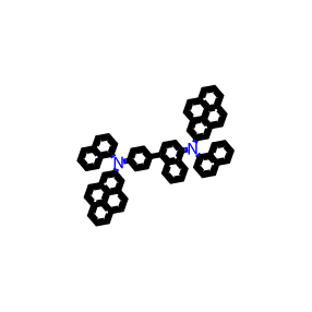 c1ccc2c(N(c3ccc(-c4ccc(N(c5cc6ccc7cccc8ccc(c5)c6c78)c5cccc6ccccc56)c5ccccc45)cc3)c3cc4ccc5cccc6ccc(c3)c4c56)cccc2c1